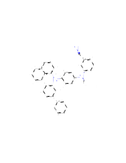 CN(c1ccc(N(c2cccc(-c3ccccc3)c2)c2cccc3ccccc23)cc1)c1cccc(C#N)c1